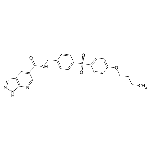 CCCCOc1ccc(S(=O)(=O)c2ccc(CNC(=O)c3cnc4[nH]ncc4c3)cc2)cc1